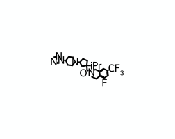 CC(C)C1(C(=O)N2CCc3c(F)cc(C(F)(F)F)cc3C2)CCC(N2CCC(n3cncn3)CC2)C1